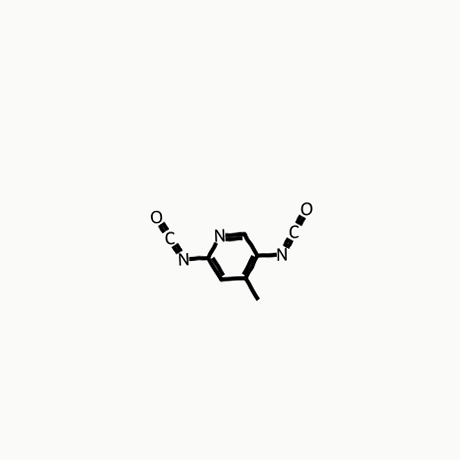 Cc1cc(N=C=O)ncc1N=C=O